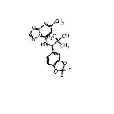 Cc1cc(NC(c2ccc3c(c2)OC(F)(F)O3)C(C)(C)O)n2ncnc2n1